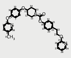 Cc1ccc(Oc2ccc(OC3CCN(C(=O)Oc4ccc(CCOc5ccccn5)cc4)CC3)cc2)nc1